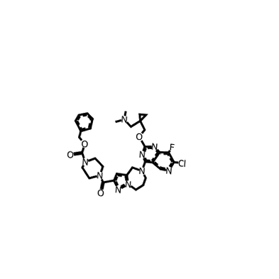 CN(C)CC1(COc2nc(N3CCCn4nc(C(=O)N5CCN(C(=O)OCc6ccccc6)CC5)cc4C3)c3cnc(Cl)c(F)c3n2)CC1